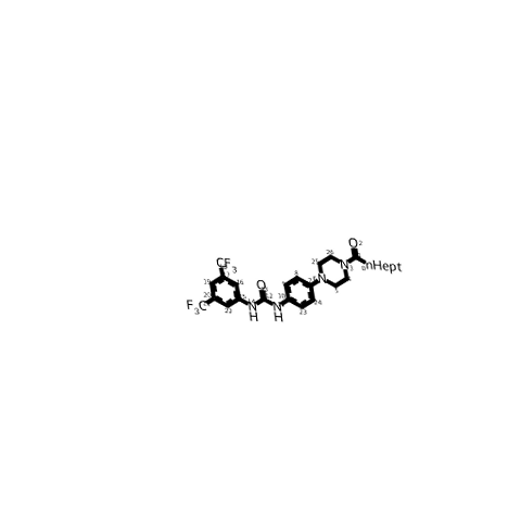 CCCCCCCC(=O)N1CCN(c2ccc(NC(=O)Nc3cc(C(F)(F)F)cc(C(F)(F)F)c3)cc2)CC1